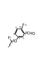 O=Cc1cc(OC(F)F)ccc1F